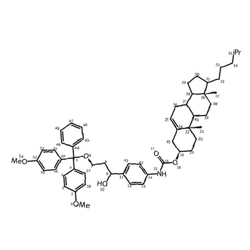 COc1ccc(C(OCCC(O)c2ccc(NC(=O)O[C@@H]3CC[C@]4(C)C(=CCC5C6CCC(CCCC(C)C)[C@]6(C)CCC54)C3)cc2)(c2ccccc2)c2ccc(OC)cc2)cc1